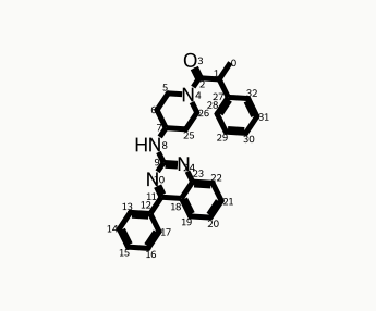 CC(C(=O)N1CCC(Nc2nc(-c3ccccc3)c3ccccc3n2)CC1)c1ccccc1